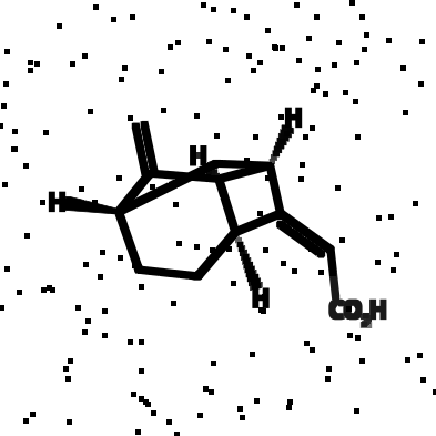 C=C1[C@H]2CC[C@@H]3/C(=C\C(=O)O)[C@H](C2)[C@H]13